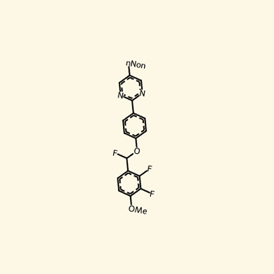 CCCCCCCCCc1cnc(-c2ccc(OC(F)c3ccc(OC)c(F)c3F)cc2)nc1